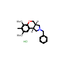 COc1cc2c(c(OC)c1C)OC[C@@H]1CN(Cc3ccccc3)C[C@H]21.Cl